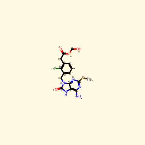 CCCCSc1nc(N)c2[nH]c(=O)n(Cc3cccc(CC(=O)OCO)c3F)c2n1